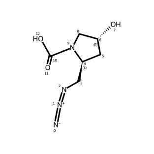 [N-]=[N+]=NC[C@@H]1C[C@@H](O)CN1C(=O)O